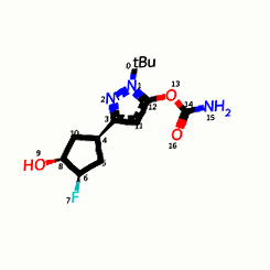 CC(C)(C)n1nc([C@H]2C[C@@H](F)[C@@H](O)C2)cc1OC(N)=O